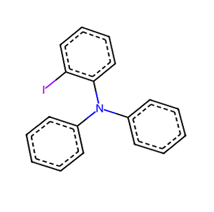 Ic1ccccc1N(c1ccccc1)c1ccccc1